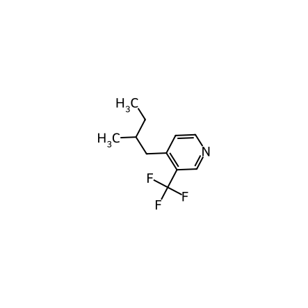 CCC(C)Cc1ccncc1C(F)(F)F